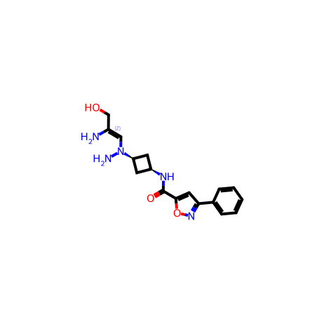 N/C(=C\N(N)[C@H]1C[C@@H](NC(=O)c2cc(-c3ccccc3)no2)C1)CO